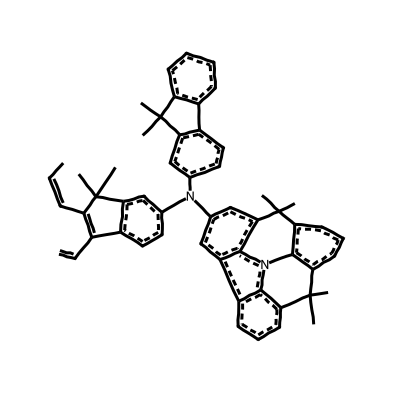 C=CC1=C(/C=C\C)C(C)(C)c2cc(N(c3ccc4c(c3)C(C)(C)c3ccccc3-4)c3cc4c5c(c3)c3cccc6c3n5-c3c(cccc3C4(C)C)C6(C)C)ccc21